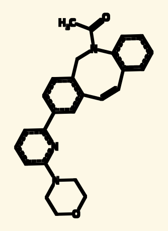 CC(=O)N1Cc2ccc(-c3cccc(N4CCOCC4)n3)cc2C=Cc2ccccc21